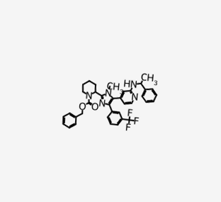 CC(Nc1cc(-c2c(-c3cccc(C(F)(F)F)c3)nc(C3CCCCN3C(=O)OCc3ccccc3)n2C)ccn1)c1ccccc1